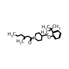 C=C(CCC)CC(=O)N1CCC(COc2ccccc2C(C)(C)C)CC1